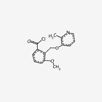 COc1cccc(C(=O)Cl)c1COc1cccnc1C